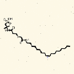 CCCCCCCC/C=C\CCCCCCCCNC(=O)CSCCC(=O)NC(C)(C)CS(=O)(=O)O